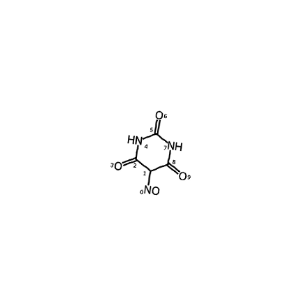 O=NC1C(=O)NC(=O)NC1=O